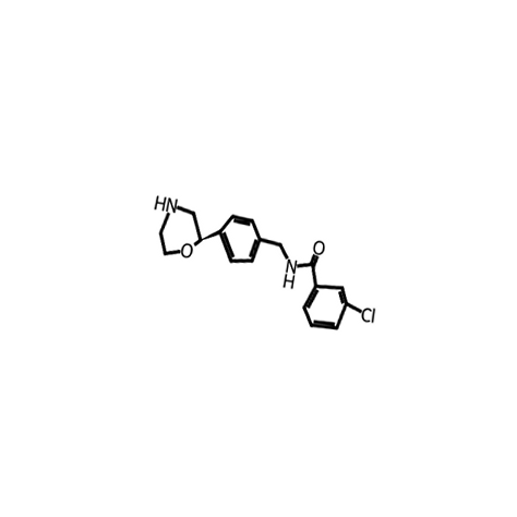 O=C(NCc1ccc([C@@H]2CNCCO2)cc1)c1cccc(Cl)c1